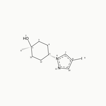 C[C@]1(O)CC[C@H](n2cc(I)cn2)CC1